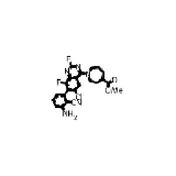 COC(=O)C1CCCN(c2nc(F)nc3c(F)c(-c4cccc(N)c4C#N)c(Cl)cc23)CC1